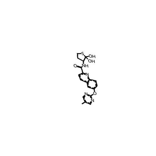 Cc1cnc(Oc2ccc3nc(C(=O)NC4CCSC4(O)O)ccc3c2)nc1